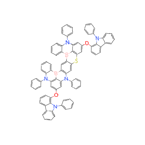 c1ccc(N2c3ccccc3B3c4cc5c(cc4Sc4cc(Oc6cccc7c8ccccc8n(-c8ccccc8)c67)cc2c43)N(c2ccccc2)c2cc(Oc3cccc4c6ccccc6n(-c6ccccc6)c34)cc3c2B5c2ccccc2N3c2ccccc2)cc1